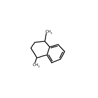 C[C]1CCC(C)c2ccccc21